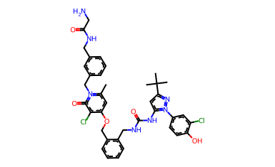 Cc1cc(OCc2ccccc2CNC(=O)Nc2cc(C(C)(C)C)nn2-c2ccc(O)c(Cl)c2)c(Cl)c(=O)n1Cc1cccc(CNC(=O)CN)c1